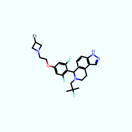 CCC1CN(CCOc2cc(F)c(C3c4ccc5[nH]ncc5c4CCN3CC(C)(C)F)c(F)c2)C1